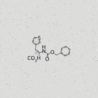 O=C(N/C(=C\c1ccsc1)C(=O)O)OCc1ccccc1